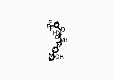 O=C(CNC(=O)c1cccc(C(F)(F)F)c1)NC1CN(C2CCC(c3ncccc3O)CC2)C1